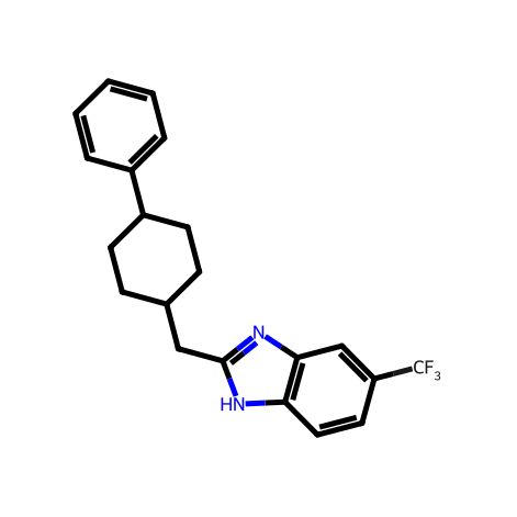 FC(F)(F)c1ccc2[nH]c(CC3CCC(c4ccccc4)CC3)nc2c1